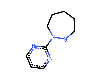 c1cnc(N2CCCCC[N]2)nc1